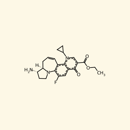 CCOC(=O)c1cn(C2CC2)c2c3c(c(F)cc2c1=O)N1CC[C@H](N)[C@H]1CC=C3